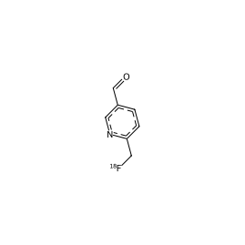 O=Cc1ccc(C[18F])nc1